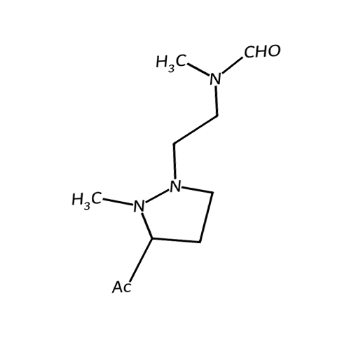 CC(=O)C1CCN(CCN(C)C=O)N1C